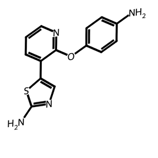 Nc1ccc(Oc2ncccc2-c2cnc(N)s2)cc1